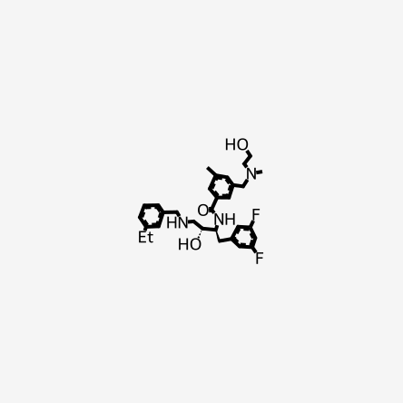 CCc1cccc(CNC[C@@H](O)[C@H](Cc2cc(F)cc(F)c2)NC(=O)c2cc(C)cc(CN(C)CCO)c2)c1